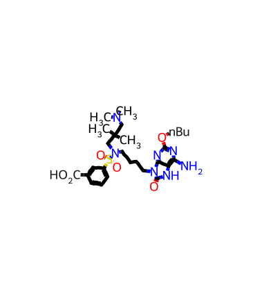 CCCCOc1nc(N)c2[nH]c(=O)n(CCCCN(CC(C)(C)CN(C)C)S(=O)(=O)c3cccc(C(=O)O)c3)c2n1